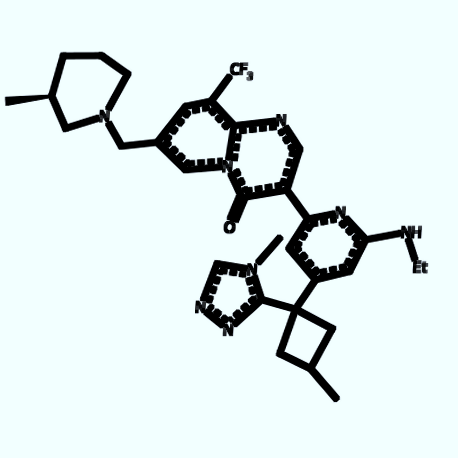 CCNc1cc(C2(c3nncn3C)CC(C)C2)cc(-c2cnc3c(C(F)(F)F)cc(CN4CCC[C@H](C)C4)cn3c2=O)n1